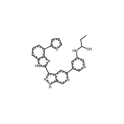 CCC(O)Nc1cncc(-c2cc3c(-c4nc5c(-c6cccs6)cccc5[nH]4)n[nH]c3cn2)c1